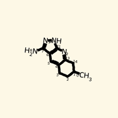 CC1CCc2cc3c(N)n[nH]c3nc2C1